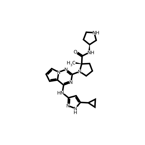 C[C@@]1(C(=O)N[C@H]2CCNC2)CCCN1c1nc(Nc2cc(C3CC3)[nH]n2)c2cccn2n1